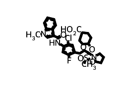 Cn1cc(C(=O)Nc2cc(F)c(CC(=O)C(OC3CCC(C(=O)O)CC3)(N3CCCC3)S(C)(=O)=O)cc2Cl)c2ccccc21